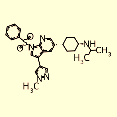 CC(C)N[C@H]1CC[C@H](c2cnc3c(c2)c(-c2cnn(C)c2)cn3S(=O)(=O)c2ccccc2)CC1